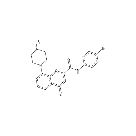 CN1CCN(c2cccc3c(=O)cc(C(=O)Nc4ccc(Br)cc4)oc23)CC1